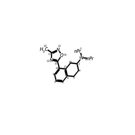 CCCN(CCC)C1CCc2cccc(-c3nc(C)no3)c2C1